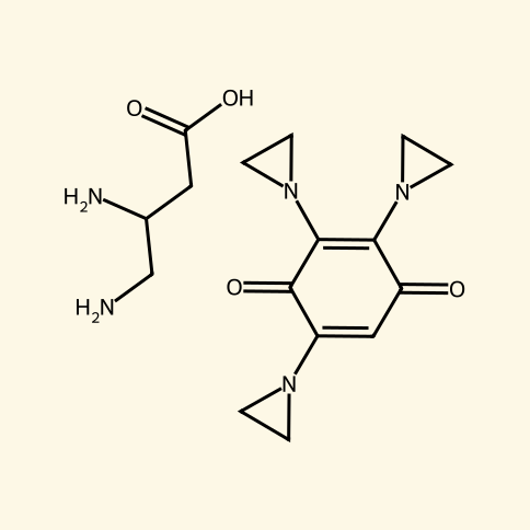 NCC(N)CC(=O)O.O=C1C=C(N2CC2)C(=O)C(N2CC2)=C1N1CC1